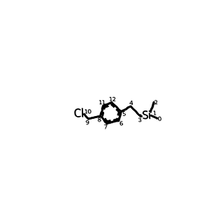 C[Si](C)CCc1ccc(CCl)cc1